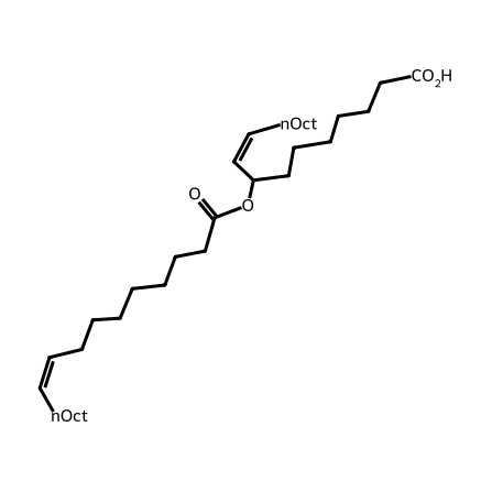 CCCCCCCC/C=C\CCCCCCCC(=O)OC(/C=C\CCCCCCCC)CCCCCCC(=O)O